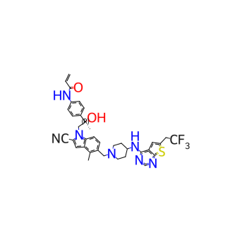 C=CC(=O)Nc1ccc([C@@](C)(O)Cn2c(C#N)cc3c(C)c(CN4CCC(Nc5ncnc6sc(CC(F)(F)F)cc56)CC4)ccc32)cc1